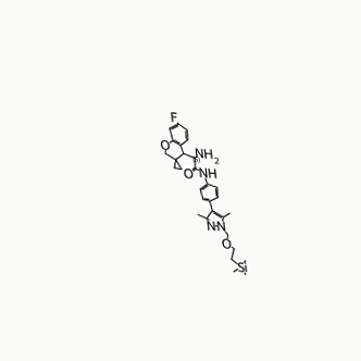 Cc1nn(COCC[Si](C)(C)C)c(C)c1-c1ccc(NC(=O)[C@@H](N)C2c3ccc(F)cc3OCC23CC3)cc1